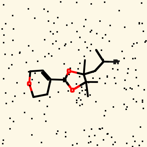 CC(C)C(C)CC1(C)OB(C2=CCOCC2)OC1(C)C